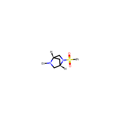 CCN1C[C@@H]2C[C@H]1CN2S(=O)(=O)C(C)C